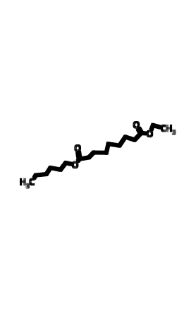 CCCCCCOC(=O)CCCCCCCC(=O)OCC